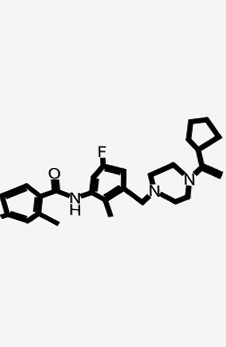 C=C(C1CCCC1)N1CCN(Cc2cc(F)cc(NC(=O)c3ccc(F)cc3C)c2C)CC1